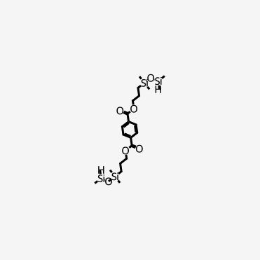 C[SiH](C)O[Si](C)(C)CCCOC(=O)c1ccc(C(=O)OCCC[Si](C)(C)O[SiH](C)C)cc1